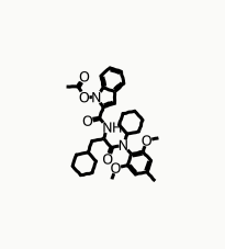 COc1cc(C)cc(OC)c1N(C(=O)C(CC1CCCCC1)NC(=O)c1cc2ccccc2n1OC(C)=O)C1CCCCC1